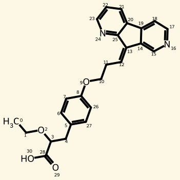 CCOC(Cc1ccc(OCCC=C2c3cnccc3-c3cccnc32)cc1)C(=O)O